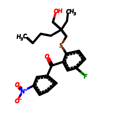 CCCCC(CC)(CO)CSc1ccc(F)cc1C(=O)c1cccc([N+](=O)[O-])c1